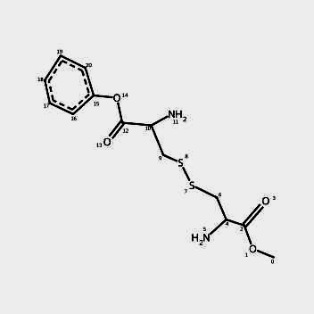 COC(=O)C(N)CSSCC(N)C(=O)Oc1ccccc1